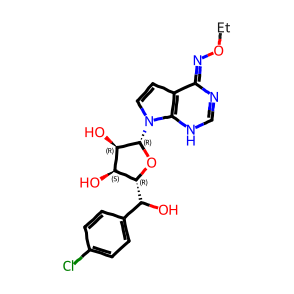 CCON=c1nc[nH]c2c1ccn2[C@@H]1O[C@H](C(O)c2ccc(Cl)cc2)[C@@H](O)[C@H]1O